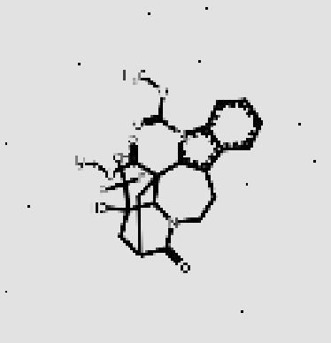 COC(=O)n1c2c(c3ccccc31)CCN1C(=O)C3CC2(C(=O)OC)C1C(O)(C(C)(F)F)C3